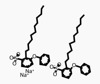 CCCCCCCCCCCCc1c(Oc2ccccc2)cccc1S(=O)(=O)[O-].CCCCCCCCCCCCc1c(Oc2ccccc2)cccc1S(=O)(=O)[O-].[Na+].[Na+]